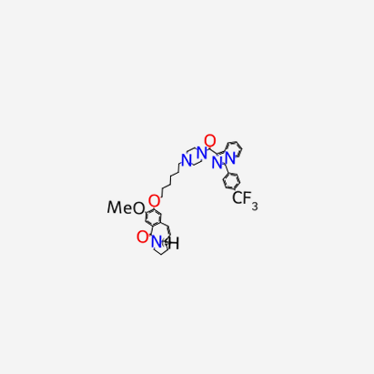 COc1cc2c(cc1OCCCCCCN1CCN(C(=O)c3nc(-c4ccc(C(F)(F)F)cc4)n4ccccc34)CC1)C=C[C@@H]1CCCN1C2=O